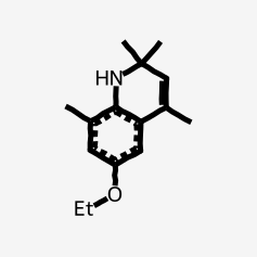 CCOc1cc(C)c2c(c1)C(C)=CC(C)(C)N2